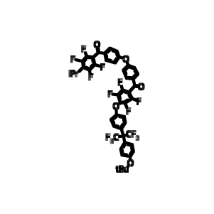 CC(C)c1c(F)c(F)c(C(=O)c2ccc(Oc3ccc(C(=O)c4c(F)c(F)c(Oc5ccc(C(c6ccc(OC(C)(C)C)cc6)(C(F)(F)F)C(F)(F)F)cc5)c(F)c4F)cc3)cc2)c(F)c1F